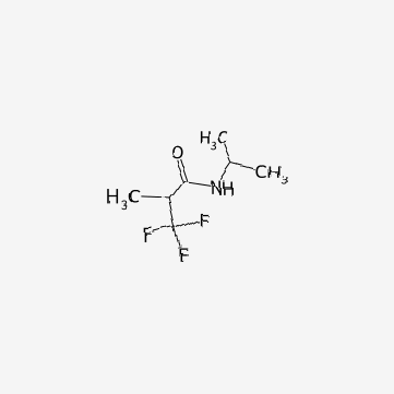 CC(C)NC(=O)C(C)C(F)(F)F